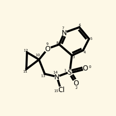 O=S1(=O)c2cccnc2OC2(CC2)CN1Cl